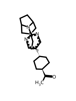 CCN1CC2CCC(C1)N2c1ncc([C@H]2CC[C@H](C(C)=O)CC2)cn1